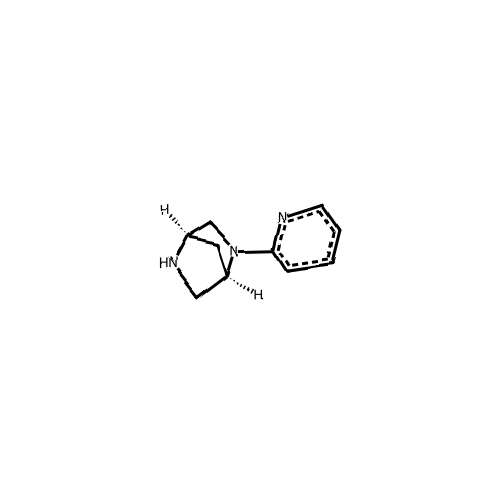 c1ccc(N2C[C@H]3C[C@@H]2CN3)nc1